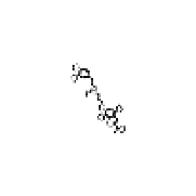 COc1ccc(CCCNCCCOc2cc(OC)c3cc(C(C)=O)oc3c2OC)cc1OC